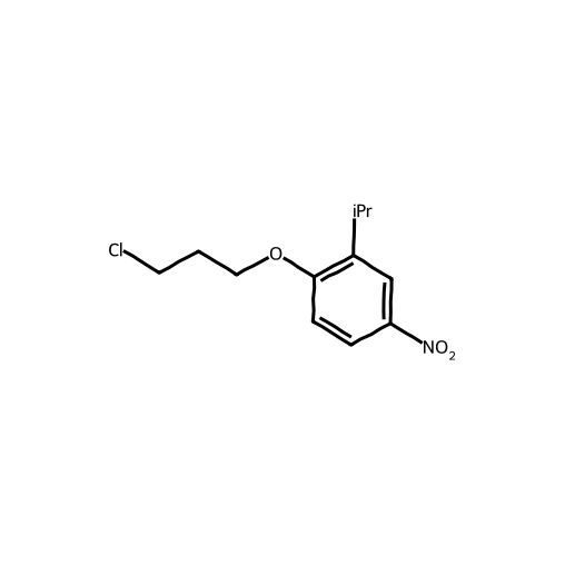 CC(C)c1cc([N+](=O)[O-])ccc1OCCCCl